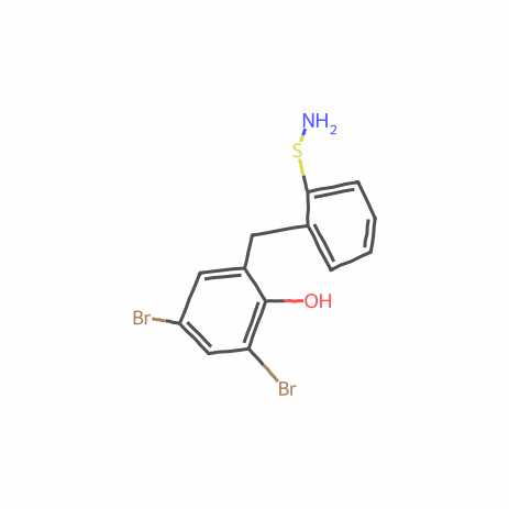 NSc1ccccc1Cc1cc(Br)cc(Br)c1O